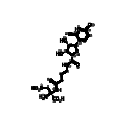 N[C@@](CC(=O)O)(NC(=O)CCCNC(=O)[C@H]1O[C@@H](n2ccc(=O)[nH]c2=O)[C@@H](O)[C@H]1O)C(=O)O